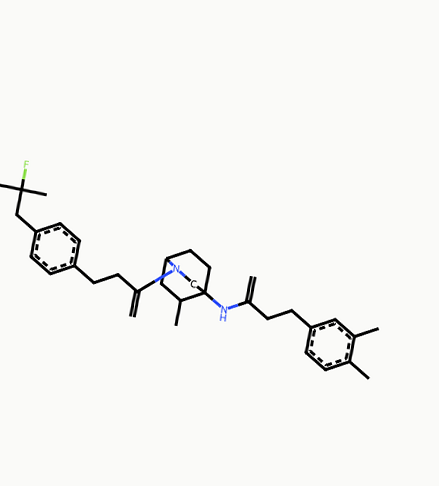 C=C(CCc1ccc(C)c(C)c1)NC12CCC(CC1C)N(C(=C)CCc1ccc(CC(C)(C)F)cc1)C2